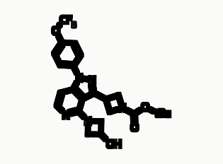 CC(C)(C)OC(=O)N1CC(c2nn(-c3ccc(OC(F)(F)F)cc3)c3ccnc(N4CC(O)C4)c23)C1